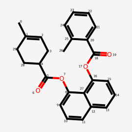 CC1=CCC(C(=O)Oc2cccc3cccc(OC(=O)c4ccccc4C)c23)CC1